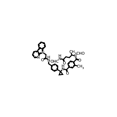 Cc1cc(C(=O)NC2(c3ccc(CNC(=O)Cn4c5ccccc5c5cccnc54)cc3)CC2)ccc1C(=O)N(C=O)C(C)CCC(=O)NC=O